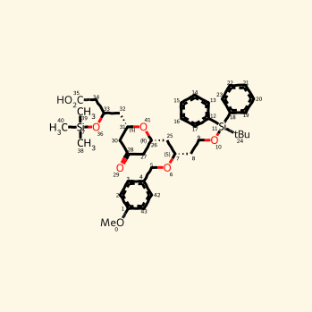 COc1ccc(CO[C@@H](CCO[Si](c2ccccc2)(c2ccccc2)C(C)(C)C)C[C@@H]2CC(=O)C[C@H](CC(CC(=O)O)O[Si](C)(C)C)O2)cc1